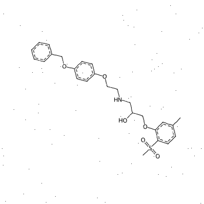 Cc1ccc(S(C)(=O)=O)c(OCC(O)CNCCOc2ccc(OCc3ccccc3)cc2)c1